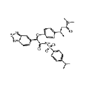 CC(C)c1ccc(S(=O)(=O)NC(=O)C(Oc2ccc(C(C)CC(=O)N(C)C)cc2)c2ccc3nsnc3c2)cc1